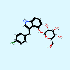 OC[C@H]1O[C@@H](Oc2cccc3[nH]cc(Cc4ccc(Cl)cc4)c23)[C@H](O)[C@@H](O)[C@@H]1O